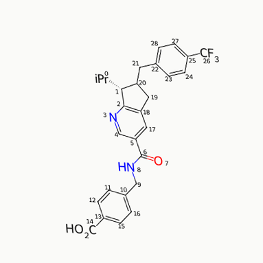 CC(C)[C@H]1c2ncc(C(=O)NCc3ccc(C(=O)O)cc3)cc2CC1Cc1ccc(C(F)(F)F)cc1